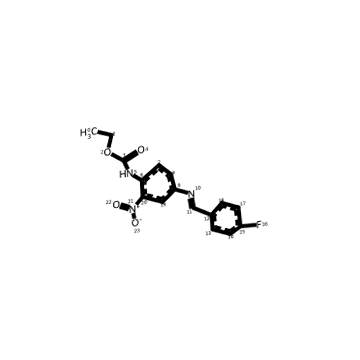 CCOC(=O)Nc1ccc(N=Cc2ccc(F)cc2)cc1[N+](=O)[O-]